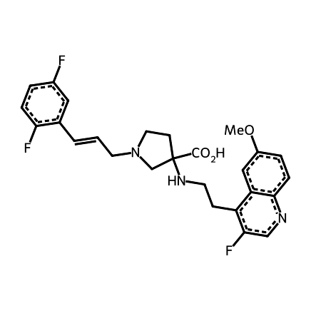 COc1ccc2ncc(F)c(CCNC3(C(=O)O)CCN(CC=Cc4cc(F)ccc4F)C3)c2c1